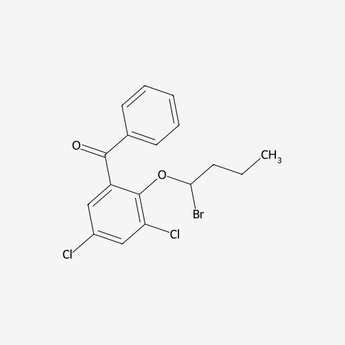 CCCC(Br)Oc1c(Cl)cc(Cl)cc1C(=O)c1ccccc1